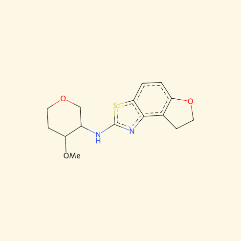 COC1CCOCC1Nc1nc2c3c(ccc2s1)OCC3